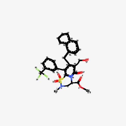 COC(=O)C1CN(C)S(=O)(=O)c2c(-c3cccc(C(F)(F)F)c3)c(Cc3cccc4ccccc34)c(CO)c(=O)n21